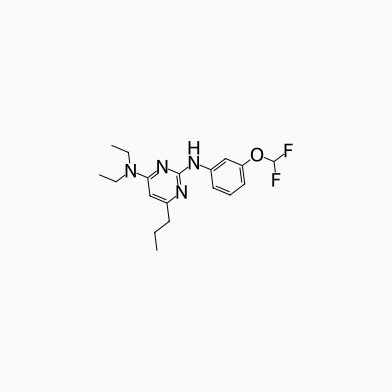 CCCc1cc(N(CC)CC)nc(Nc2cccc(OC(F)F)c2)n1